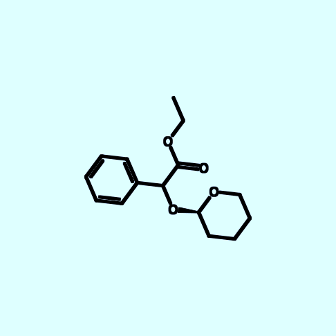 CCOC(=O)C(O[C@@H]1CCCCO1)c1ccccc1